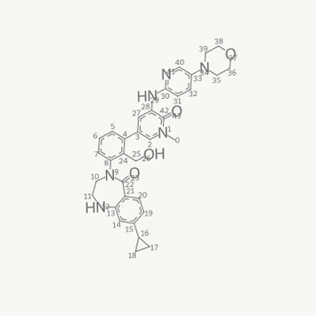 Cn1cc(-c2cccc(N3CCNc4cc(C5CC5)ccc4C3=O)c2CO)cc(Nc2ccc(N3CCOCC3)cn2)c1=O